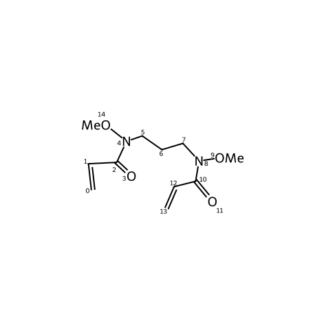 C=CC(=O)N(CCCN(OC)C(=O)C=C)OC